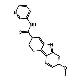 COc1ccc2c(c1)=NC1=CC(C(=O)Nc3cccnc3)CCC=21